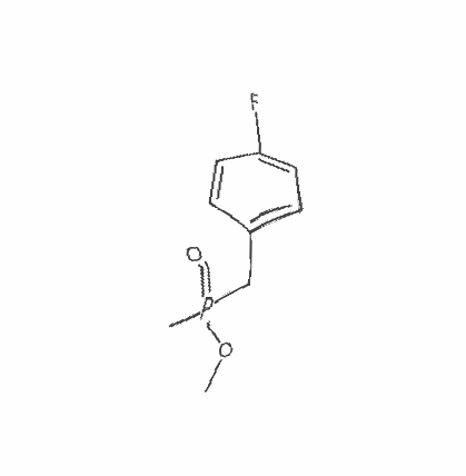 COP(C)(=O)Cc1ccc(F)cc1